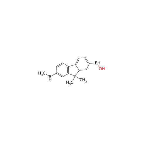 CBc1ccc2c(c1)C(C)(C)c1cc(BO)ccc1-2